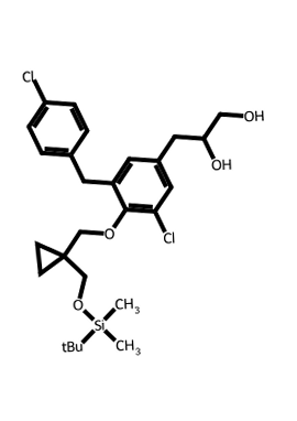 CC(C)(C)[Si](C)(C)OCC1(COc2c(Cl)cc(C[C](O)CO)cc2Cc2ccc(Cl)cc2)CC1